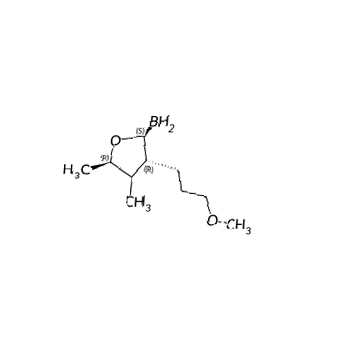 B[C@@H]1O[C@H](C)C(C)[C@H]1CCCOC